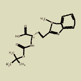 Cn1c(CC[C@H](NC(=O)OC(C)(C)C)C(=O)O)nc2ccccc21